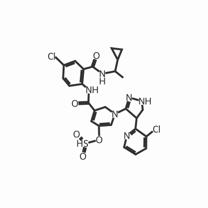 CC(NC(=O)c1cc(Cl)ccc1NC(=O)C1=CC(O[SH](=O)=O)=CN(C2=NNCC2c2ncccc2Cl)C1)C1CC1